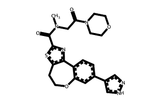 CN(CC(=O)N1CCOCC1)C(=O)c1nc2c(s1)CCOc1cc(-c3cn[nH]c3)ccc1-2